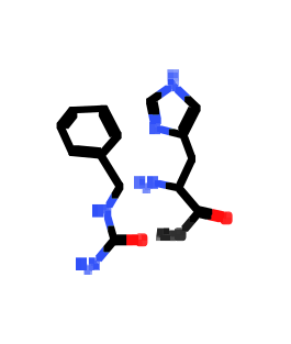 COC(=O)C(N)Cc1c[nH]cn1.NC(=O)NCc1ccccc1